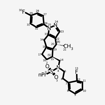 CCCS(=O)(=O)N(CCc1ccccc1F)C[C@H]1CCC2=C1[C@@H](C)c1cnn(-c3ccc(F)cc3)c1C2